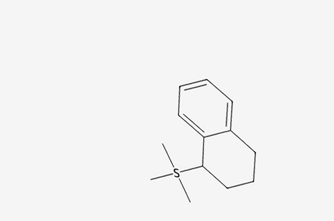 CS(C)(C)C1CCCc2ccccc21